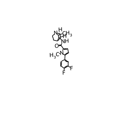 C[C@H]1[C@H](NC(=O)c2ccc(-c3ccc(F)c(F)c3)n2C)C2CCN1CC2